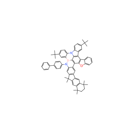 CC(C)(C)c1ccc2c(c1)B1c3c(c4oc5ccccc5c4c4c5cc(C(C)(C)C)ccc5n-2c34)-c2cc3c(cc2N1c1ccc(-c2ccccc2)cc1)C(C)(C)c1cc2c(cc1-3)C(C)(C)CCC2(C)C